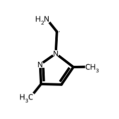 Cc1cc(C)n([CH]N)n1